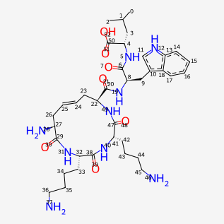 CC(C)C[C@H](NC(=O)[C@@H](Cc1c[nH]c2ccccc12)NC(=O)[C@@H]1C/C=C/C[C@H](N)C(=O)N[C@@H](CCCCN)C(=O)N[C@@H](CCCCN)C(=O)N1)C(=O)O